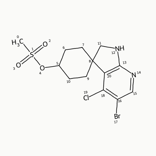 CS(=O)(=O)OC1CCC2(CC1)CNc1ncc(Br)c(Cl)c12